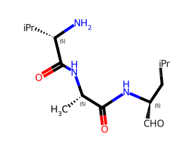 CC(C)C[C@@H](C=O)NC(=O)[C@H](C)NC(=O)[C@@H](N)C(C)C